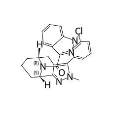 Cn1nc2c(c1-c1cccc(Cl)c1)C[C@H]1CCC[C@@H]2N1C(=O)c1nn(C)c2ccccc12